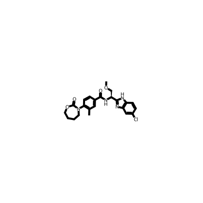 COC[C@H](NC(=O)c1ccc(N2CCCCOC2=O)c(C)c1)c1nc2cc(Cl)ccc2[nH]1